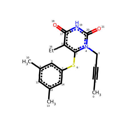 CC#CCn1c(Sc2cc(C)cc(C)c2)c(CC)c(=O)[nH]c1=O